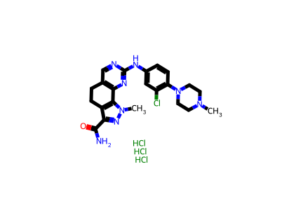 CN1CCN(c2ccc(Nc3ncc4c(n3)-c3c(c(C(N)=O)nn3C)CC4)cc2Cl)CC1.Cl.Cl.Cl